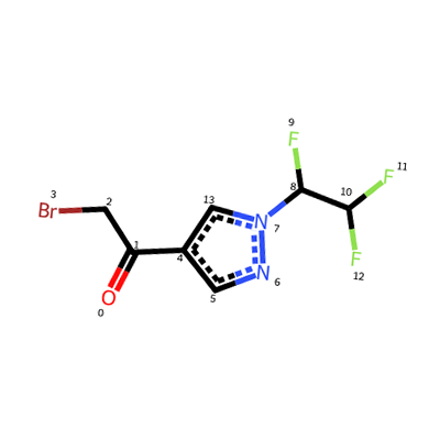 O=C(CBr)c1cnn(C(F)C(F)F)c1